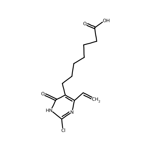 C=Cc1nc(Cl)[nH]c(=O)c1CCCCCCC(=O)O